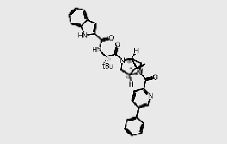 C[C@H]1[C@H]2CN(C(=O)[C@@H](NC(=O)c3cc4ccccc4[nH]3)C(C)(C)C)[C@@H]1CN2C(=O)c1ccc(-c2ccccc2)cn1